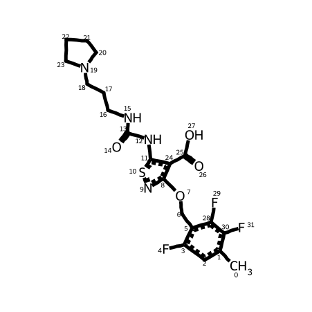 Cc1cc(F)c(COc2nsc(NC(=O)NCCCN3CCCC3)c2C(=O)O)c(F)c1F